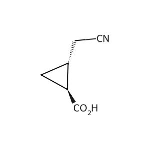 N#CC[C@H]1C[C@@H]1C(=O)O